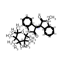 CC(=O)OC1(C)C(C)(C)C(C)(C)OC(C)(N2C(=O)/C(=C3/C(=O)N(C)c4ccccc43)c3ccccc32)C1(C)C